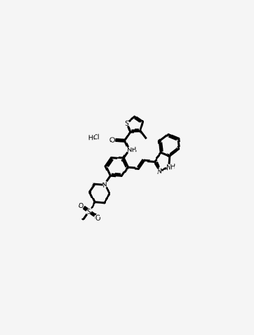 Cc1ccsc1C(=O)Nc1ccc(N2CCC(S(C)(=O)=O)CC2)cc1C=Cc1n[nH]c2ccccc12.Cl